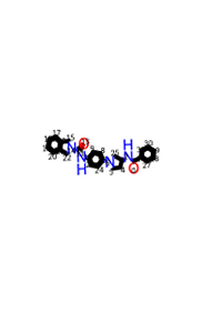 O=C(NC1CCN(c2ccc(NC(=O)N3Cc4ccccc4C3)cc2)C1)c1ccccc1